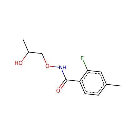 Cc1ccc(C(=O)NOCC(C)O)c(F)c1